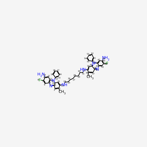 CC1=CC2=Nc3cc(F)c(N)cc3N(c3ccccc3)C2C=C1NCCCCCCCCNc1cc2c(cc1C)nc1cc(F)c(N)cc1[n+]2-c1ccccc1